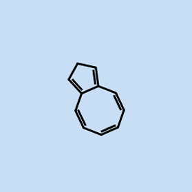 C1=CC=CC2=CCC=C2C=C1